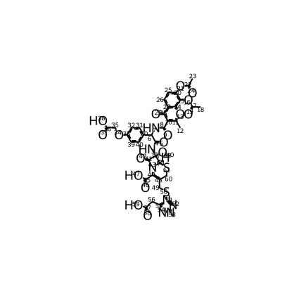 CO[C@@]1(NC(=O)C(NC(=O)c2c(C)oc3c(OC(C)=O)c(OC(C)=O)ccc3c2=O)c2ccc(OCC(=O)O)cc2)C(=O)N2C(C(=O)O)=C(CSn3nnnc3CC(=O)O)CS[C@@H]21